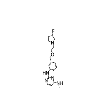 CNc1ccnc(Nc2cccc(COCCN3CCC(F)C3)c2)n1